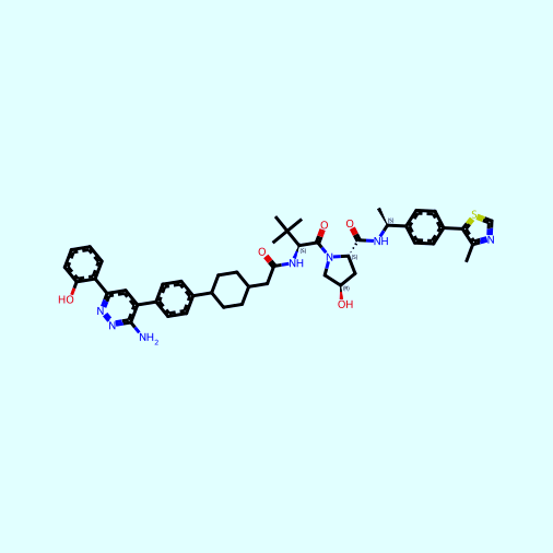 Cc1ncsc1-c1ccc([C@H](C)NC(=O)[C@@H]2C[C@@H](O)CN2C(=O)[C@@H](NC(=O)CC2CCC(c3ccc(-c4cc(-c5ccccc5O)nnc4N)cc3)CC2)C(C)(C)C)cc1